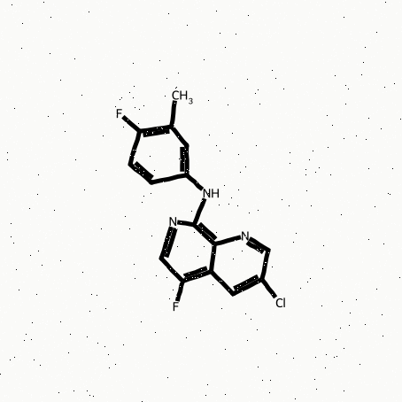 Cc1cc(Nc2ncc(F)c3cc(Cl)cnc23)ccc1F